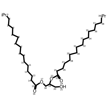 CC(C)CCCCCCCCCCCCCCC(=O)OCC(CO)OC(=O)CCCCCCCCCCCCCCC(C)C